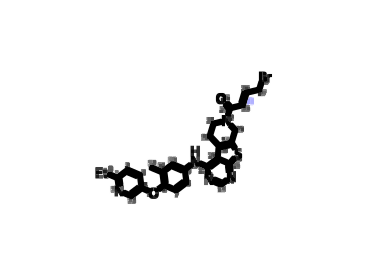 CCc1ccc(Oc2ccc(Nc3ncnc4sc5c(c34)CCN(C(=O)/C=C/CBr)C5)cc2C)cn1